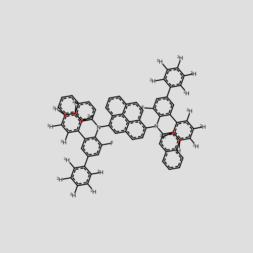 [2H]c1c([2H])c([2H])c(-c2cc(F)c(N(c3ccc4ccccc4c3)c3cc4ccc(N(c5ccc6ccccc6c5)c5c(F)cc(-c6c([2H])c([2H])c([2H])c([2H])c6[2H])cc5-c5c([2H])c([2H])c([2H])c([2H])c5[2H])c5ccc6cccc3c6c45)c(-c3c([2H])c([2H])c([2H])c([2H])c3[2H])c2)c([2H])c1[2H]